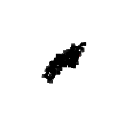 CC(C)(C)C1CCC(NC(=O)CC(=O)N2C3CCC2CC([C@H](N)Cc2cc(F)c(F)cc2F)C3)CC1